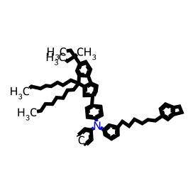 CCCCCCCCC1(CCCCCCCC)c2cc(-c3ccc(N(c4ccccc4)c4cccc(CCCCCCc5ccc6c(c5)CC6)c4)cc3)ccc2-c2ccc(C(C)(CC)CC)cc21